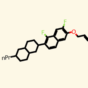 C=CCOc1cc2ccc(C3CCC4CC(CCC)CCC4C3)c(F)c2cc1F